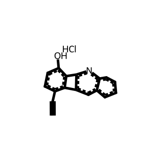 C#Cc1ccc(O)c2c1-c1cc3ccccc3nc1-2.Cl